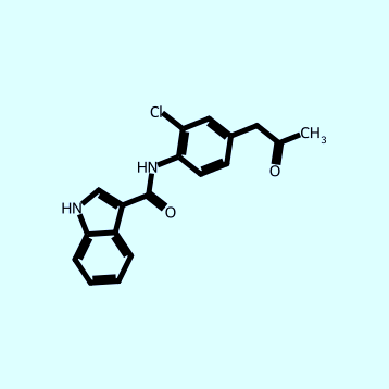 CC(=O)Cc1ccc(NC(=O)c2c[nH]c3ccccc23)c(Cl)c1